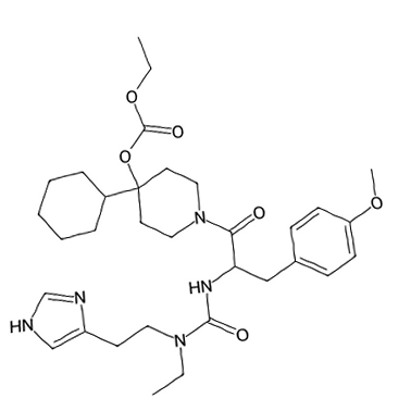 CCOC(=O)OC1(C2CCCCC2)CCN(C(=O)C(Cc2ccc(OC)cc2)NC(=O)N(CC)CCc2c[nH]cn2)CC1